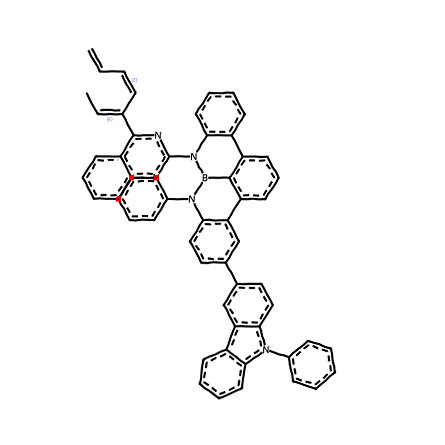 C=C/C=C\C(=C/C)c1nc(N2B3c4c(cccc4-c4ccccc42)-c2cc(-c4ccc5c(c4)c4ccccc4n5-c4ccccc4)ccc2N3c2ccccc2)nc2ccccc12